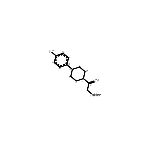 CCCCCCCCCCC(=O)C1CCC(c2ccc(F)cc2)CC1